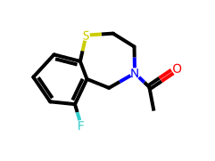 CC(=O)N1CCSc2cccc(F)c2C1